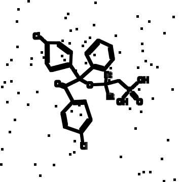 CCC(CC)(CP(=O)(O)O)OC(C(=O)c1ccc(Cl)cc1)(c1ccccc1)c1ccc(Cl)cc1